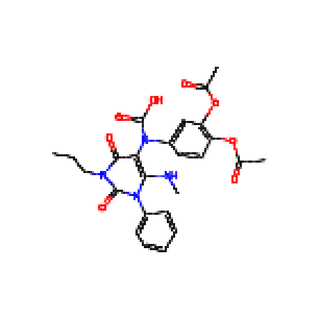 CCCn1c(=O)c(N(C(=O)O)c2ccc(OC(C)=O)c(OC(C)=O)c2)c(NC)n(-c2ccccc2)c1=O